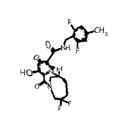 Cc1cc(F)c(CNC(=O)c2cn3c(c(O)c2=O)C(=O)N2C[C@H]3CCC(F)(F)C2)c(F)c1